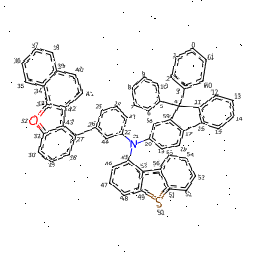 c1ccc(C2(c3ccccc3)c3ccccc3-c3ccc(N(c4cccc(-c5cccc6oc7c8ccccc8ccc7c56)c4)c4cccc5sc6ccccc6c45)cc32)cc1